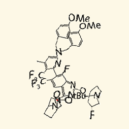 COc1ccc(CN(Cc2ccc(OC)cc2)c2cc(C)c(C(F)(F)F)c(-c3c(C(F)(F)F)cc4c(N5CC6CCC(C5)N6C(=O)OC(C)(C)C)nc(OC[C@@]56CCCN5C[C@H](F)C6)nc4c3F)n2)cc1